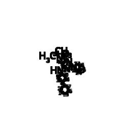 CC(C)N1Cc2c(Nc3ccc(C4CCCCC4)cc3)nc(N3CCOCC3)nc2C1=O